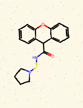 O=C(NSN1CCCC1)C1c2ccccc2Oc2ccccc21